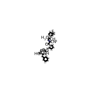 CC(C)(/C=C(\C#N)C(=O)N1CCC[C@@H]1COC(=O)N[C@@H](Cc1ccccc1)B(O)O)N1CCC(F)(F)C1